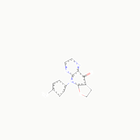 Cc1ccc(-n2c3c(c(=O)c4nccnc42)CCO3)cc1